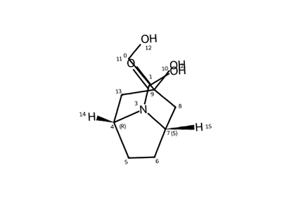 O=C(O)N1[C@@H]2CC[C@H]1CC(O)(CO)C2